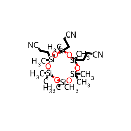 C[Si]1(C)O[Si](C)(C)O[Si](C)(CCC#N)O[Si](C)(CCC#N)O[Si](C)(CCC#N)O[Si](C)(C)O1